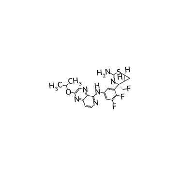 CC(C)Oc1cnc2c(Nc3cc(F)c(F)c([C@@]4(CF)N=C(N)S[C@H]5C[C@H]54)c3)nccc2n1